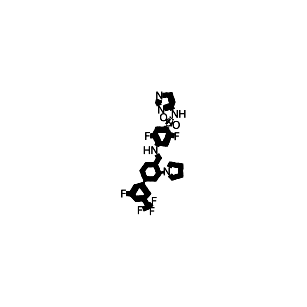 O=S(=O)(Nc1ccncn1)c1cc(F)c(NCC2CC[C@H](c3cc(F)cc(C(F)(F)F)c3)C[C@@H]2N2CCCC2)cc1F